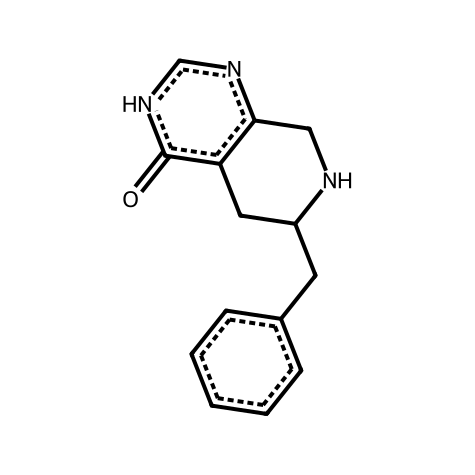 O=c1[nH]cnc2c1CC(Cc1ccccc1)NC2